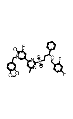 Cc1cc(-c2cc(F)c(=O)n(Cc3ccc4c(c3)OCO4)c2)nc(S(=O)(=O)CCC(OCc2ccc(F)cc2F)c2ccccc2)n1